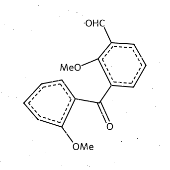 COc1ccccc1C(=O)c1cccc([C]=O)c1OC